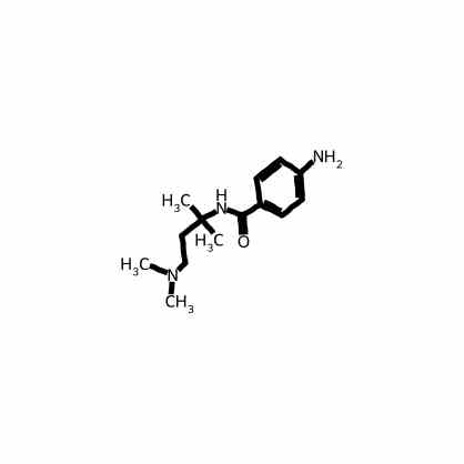 CN(C)CCC(C)(C)NC(=O)c1ccc(N)cc1